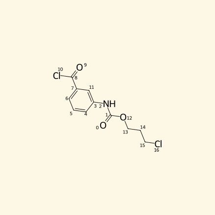 O=C(Nc1cccc(C(=O)Cl)c1)OCCCCl